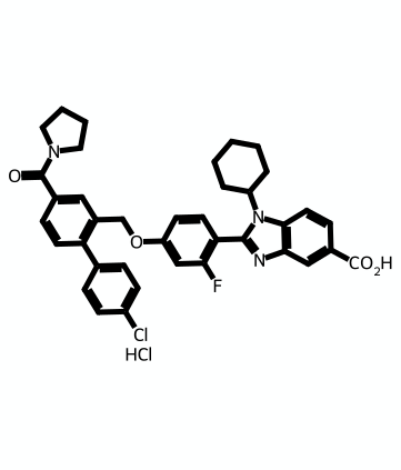 Cl.O=C(O)c1ccc2c(c1)nc(-c1ccc(OCc3cc(C(=O)N4CCCC4)ccc3-c3ccc(Cl)cc3)cc1F)n2C1CCCCC1